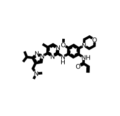 C=CC(=O)Nc1cc(Nc2ncc(C)c(-n3cc(CN(C)C)c(C(C)C)n3)n2)c(OC)cc1N1CCOCC1